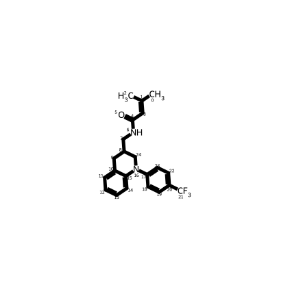 CC(C)=CC(=O)NCC1Cc2ccccc2N(c2ccc(C(F)(F)F)cc2)C1